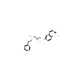 CN(CC(O)COc1ccc2[nH]c(=O)ccc2c1)CC(O)c1ccccc1